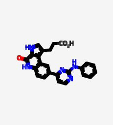 O=C(O)CCc1c[nH]c2c(=O)[nH]c3ccc(-c4ccnc(Nc5ccccc5)n4)cc3c12